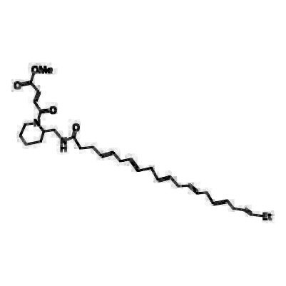 CCC=CCC=CCC=CCC=CCC=CCC=CCCC(=O)NCC1CCCCN1C(=O)C=CC(=O)OC